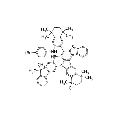 CC(C)(C)c1ccc(Nc2cc3c(cc2-c2c4c5c(c6cc7c(cc6n5-c5cc6c(cc5B4)C(C)(C)c4ccccc4-6)C(C)(C)CCC7(C)C)c4c2sc2ccccc24)C(C)(C)CCC3(C)C)cc1